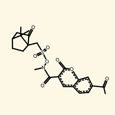 CC(=O)c1ccc2cc(C(=O)N(C)OS(=O)(=O)CC34CCC(CC3=O)C4(C)C)c(=O)oc2c1